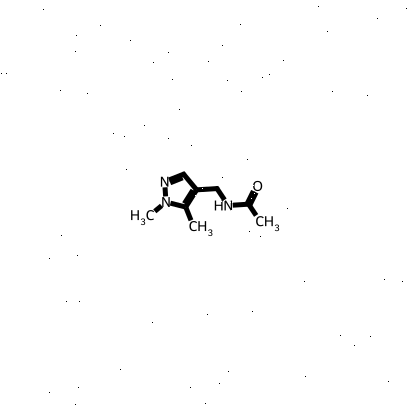 CC(=O)NCc1cnn(C)c1C